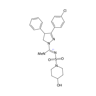 CN/C(=N\S(=O)(=O)N1CCC(O)CC1)N1CC(c2ccccc2)C(c2ccc(Cl)cc2)=N1